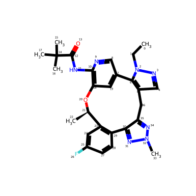 CCn1ncc2c1-c1cnc(NC(=O)C(C)(C)C)c(c1)O[C@H](C)c1cc(F)ccc1-c1nn(C)nc1C2